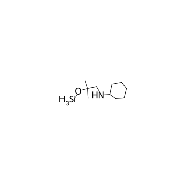 CC(C)(CNC1CCCCC1)O[SiH3]